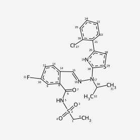 CCS(=O)(=O)NC(=O)c1cc(F)ccc1C=NN(c1nc(-c2ccccc2Cl)cs1)C(C)C